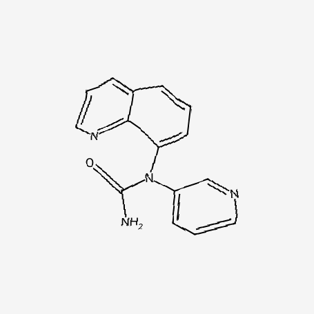 NC(=O)N(c1cccnc1)c1cccc2cccnc12